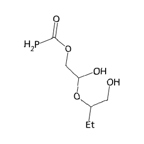 CCC(CO)OC(O)COC(=O)P